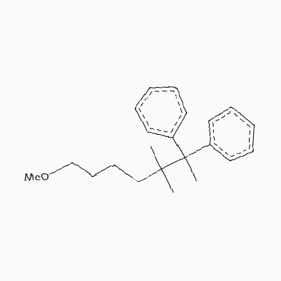 COCCCCC(C)(C)C(C)(c1ccccc1)c1ccccc1